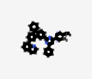 C=C/C=C\C(=C/C)c1cc(-c2ccccc2)nc(-c2ccc(C3(c4ccc(-c5cccc6cccnc56)cc4)CCCCC3)cc2)n1